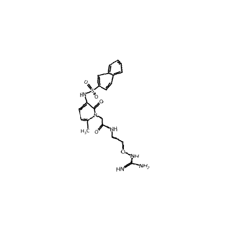 Cc1ccc(NS(=O)(=O)c2ccc3ccccc3c2)c(=O)n1CC(=O)NCCONC(=N)N